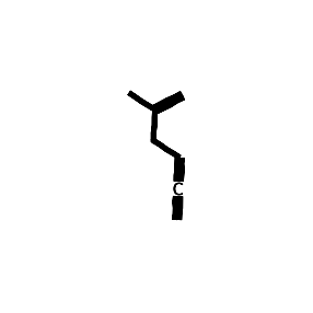 C=C=CCC(=C)C